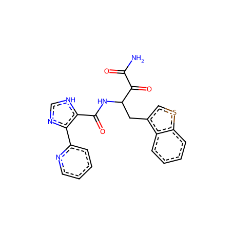 NC(=O)C(=O)C(Cc1csc2ccccc12)NC(=O)c1[nH]cnc1-c1ccccn1